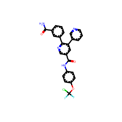 NC(=O)c1cccc(-c2ncc(C(=O)Nc3ccc(OC(F)(F)Cl)cc3)cc2-c2cccnc2)c1